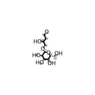 O=CCC(O)CO[C@H]1O[C@H](CO)[C@@H](O)[C@H](O)[C@H]1O